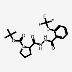 CC(C)(C)OC(=O)N1CCCC1C(=O)NNC(=O)c1ccccc1OC(F)(F)F